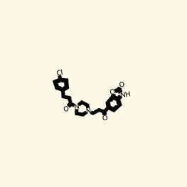 O=C(CCN1CCN(C(=O)[CH]Cc2ccc(Cl)cc2)CC1)c1ccc2[nH]c(=O)oc2c1